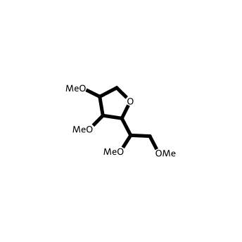 COCC(OC)C1OCC(OC)C1OC